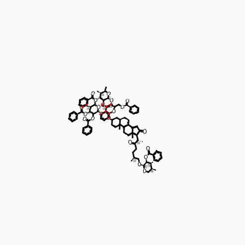 CC1O[C@@H](OC2[C@H](OC3CCC4(C)C(CCC5C4CCC4(C)C5CC(=O)C4[C@H](C)C(=O)CC[C@H](C)CO[C@@H]4OC[C@H](C)[C@H](C)C4OC(=O)c4ccccc4)C3)OC(COC(=O)c3ccccc3)[C@@H](O[C@@H]3OC(C)[C@H](C)[C@H](OC(=O)c4ccccc4)C3OC(=O)c3ccccc3)[C@@H]2C)C(OC(=O)c2ccccc2)[C@@H](OC(=O)c2ccccc2)[C@H]1C